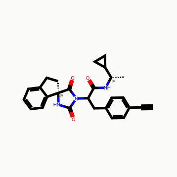 C#Cc1ccc(CC(C(=O)N[C@@H](C)C2CC2)N2C(=O)N[C@]3(CCc4ccccc43)C2=O)cc1